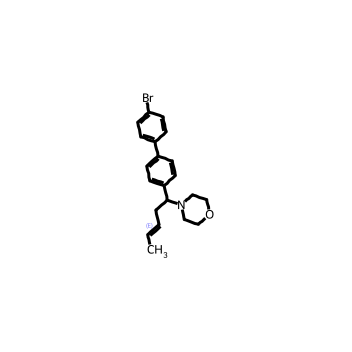 C/C=C/CC(c1ccc(-c2ccc(Br)cc2)cc1)N1CCOCC1